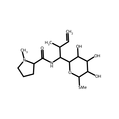 C=CC(C)C(NC(=O)C1CCCN1C)C1OC(SC)C(O)C(O)C1O